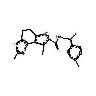 Cc1ccc(C(C)NC(=O)c2oc3c(c2C)-c2nc(C)sc2CC3)cc1